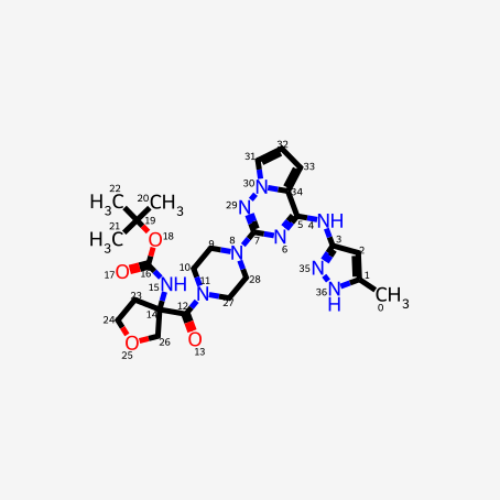 Cc1cc(Nc2nc(N3CCN(C(=O)C4(NC(=O)OC(C)(C)C)CCOC4)CC3)nn3cccc23)n[nH]1